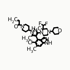 C=CC(=O)N1CCC(n2nc(N3CCN(C4CCOCC4)C[C@@]3(C)C(F)F)c(-c3c(Cl)c(C)cc4[nH]ncc34)c2C)CC1